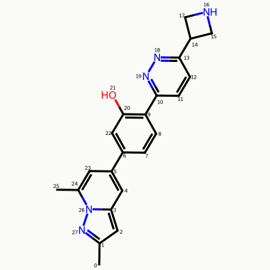 Cc1cc2cc(-c3ccc(-c4ccc(C5CNC5)nn4)c(O)c3)cc(C)n2n1